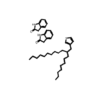 CCCCCCCCCCC(CCCCCCCC)Cc1ccsc1.O=C1Cc2ccccc2N1.O=C1Cc2ccccc2N1